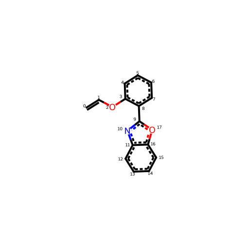 C=COc1ccccc1-c1nc2ccccc2o1